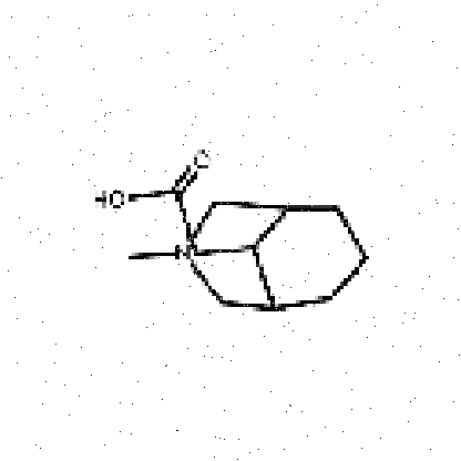 CN1CC2CCCC(C1)C2CC(=O)O